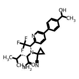 CC(C)C[C@@H](C(N)=O)N([C@@H](c1ccc(-c2ccc(C(C)O)cc2)cn1)C(F)(F)F)C1(C#N)CC1